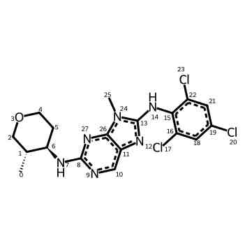 C[C@@H]1COCC[C@H]1Nc1ncc2nc(Nc3c(Cl)cc(Cl)cc3Cl)n(C)c2n1